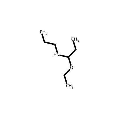 CCOC(CC)NCCP